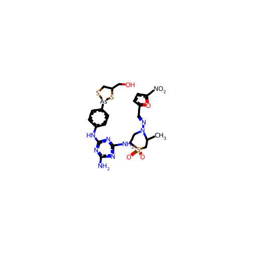 CC1CS(=O)(=O)CCN1N=Cc1ccc([N+](=O)[O-])o1.Nc1nc(N)nc(Nc2ccc([As]3SCC(CO)S3)cc2)n1